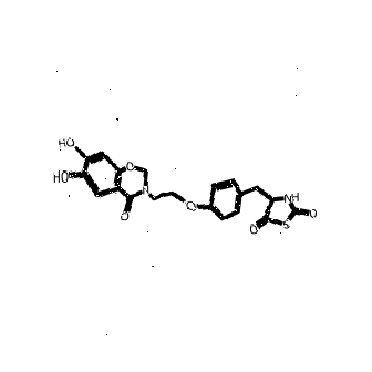 O=C1NC(Cc2ccc(OCCN3COc4cc(O)c(O)cc4C3=O)cc2)C(=O)S1